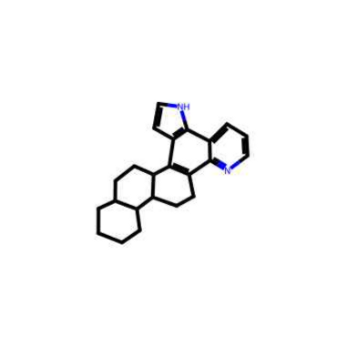 c1cnc2c3c(c4cc[nH]c4c2c1)C1CCC2CCCCC2C1CC3